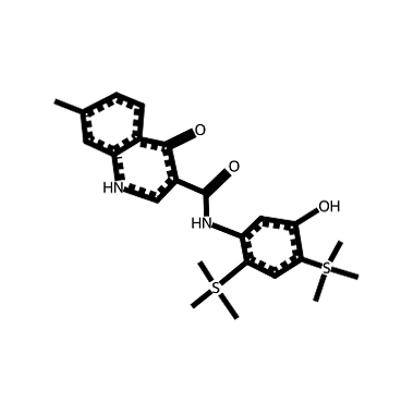 Cc1ccc2c(=O)c(C(=O)Nc3cc(O)c(S(C)(C)C)cc3S(C)(C)C)c[nH]c2c1